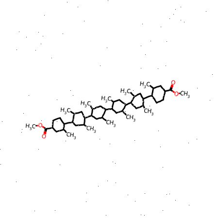 COC(=O)C1CCC(C2CC(C)C(C3CC(C)C(C4CC(C)C(C5CC(C)C(C6CCC(C(=O)OC)CC6C)CC5C)CC4C)CC3C)CC2C)C(C)C1